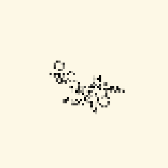 CCCCCN(Nc1cccc(C(=N)N)c1)C(=O)NNc1ccc(-c2ccccc2S(C)(=O)=O)cc1